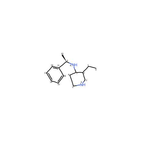 CCC1CNCCC1N[C@H](C)c1ccccc1